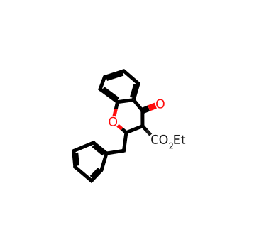 CCOC(=O)C1C(=O)c2ccccc2OC1Cc1ccccc1